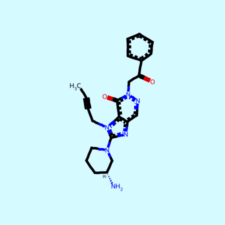 CC#CCn1c(N2CCC[C@@H](N)C2)nc2cnn(CC(=O)c3ccccc3)c(=O)c21